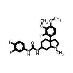 COc1ccc(C23CCC(NC(=O)Nc4ccc(F)c(F)c4)CC2N(C)CC3)c(F)c1OC